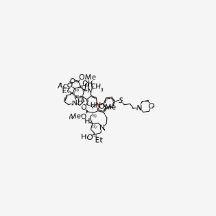 CC[C@]1(O)C[C@H]2CN(CCc3c([nH]c4ccc(SCCCN5CCOCC5)cc34)[C@@](C(=O)OC)(C3C=C4C(=CC3OC)N(C)[C@H]3[C@@](O)(C(=O)OC)[C@H](OC(C)=O)[C@]5(CC)C=CCN6CC[C@]43[C@@H]65)C2)C1